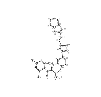 CCc1cc(F)cc(C)c1C(=O)NC(Cc1ccc(-c2cc(CNc3nc4ccccc4[nH]3)no2)cc1)C(=O)O